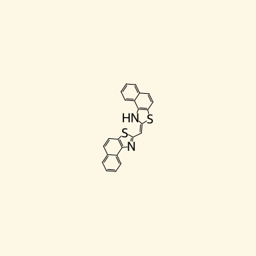 C(=C1Nc2c(ccc3ccccc23)S1)c1nc2c(ccc3ccccc32)s1